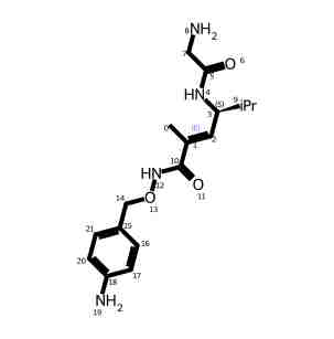 C/C(=C\[C@@H](NC(=O)CN)C(C)C)C(=O)NOCc1ccc(N)cc1